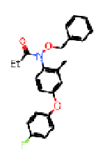 CCC(=O)N(OCc1ccccc1)c1ccc(Oc2ccc(F)cc2)cc1C